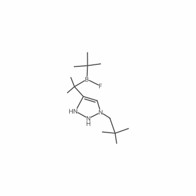 CC(C)(C)CN1C=C(C(C)(C)B(F)C(C)(C)C)NN1